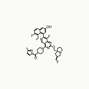 CCc1c(F)ccc2cc(O)cc(-c3ncc4c(N5CCC(C(=O)n6ccc(C)n6)CC5)nc(OC[C@@]56CCCN5C/C(=C\F)C6)nc4c3F)c12